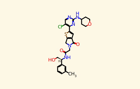 Cc1cccc([C@@H](CO)NC(=O)CN2Cc3sc(-c4nc(NC5CCOCC5)ncc4Cl)cc3C2=O)c1